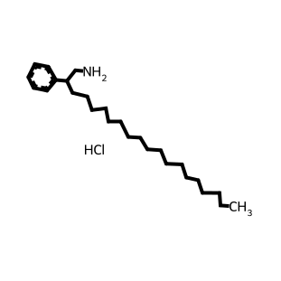 CCCCCCCCCCCCCCCCCCC(CN)c1ccccc1.Cl